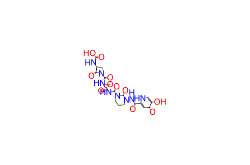 O=C(O)NC1CN(C(=O)NS(=O)(=O)NC(=O)N2CCCN(NC(=O)c3cc(=O)c(O)c[nH]3)C2=O)C1=O